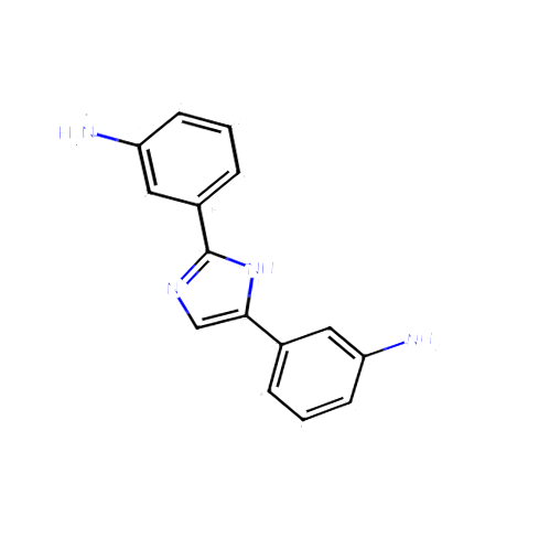 Nc1cccc(-c2cnc(-c3cccc(N)c3)[nH]2)c1